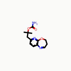 CC(C)(Cc1ccc2c(n1)OCCC=N2)OC(N)=O